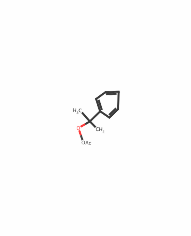 CC(=O)OOC(C)(C)c1ccccc1